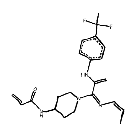 C=CC(=O)NC1CCN(/C(=N/C=C\C)C(=C)Nc2ccc(C(C)(F)F)cc2)CC1